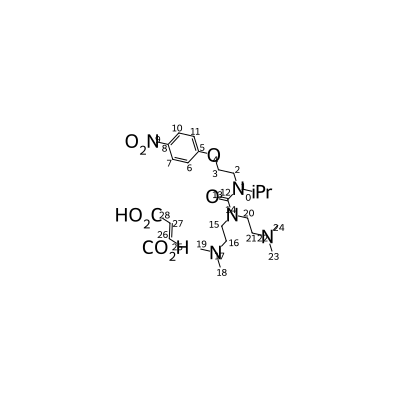 CC(C)N(CCOc1ccc([N+](=O)[O-])cc1)C(=O)N(CCN(C)C)CCN(C)C.O=C(O)/C=C/C(=O)O